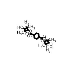 CC1(C)C(O)C(C)(C)C1OC(=O)C1CCC(C(=O)OC2C(C)(C)C(O)C2(C)C)CC1